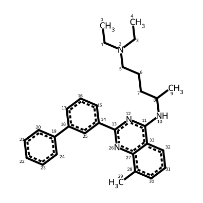 CCN(CC)CCCC(C)Nc1nc(-c2cccc(-c3ccccc3)c2)nc2c(C)cccc12